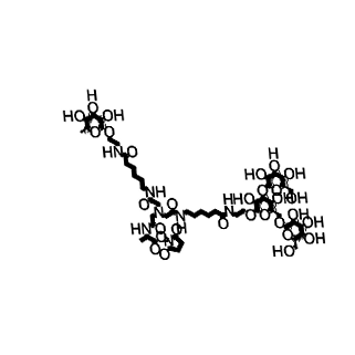 CC(NC(=O)CN(CC(=O)NCCCCCC(=O)NCCO[C@@H]1O[C@@H](C)[C@@H](O)[C@@H](O)[C@@H]1O)CC(=O)NCCCCCC(=O)NCCO[C@H]1O[C@H](CO[C@H]2O[C@H](CO)[C@@H](O)[C@H](O)[C@@H]2O)[C@@H](O)[C@H](O[C@H]2O[C@H](CO)[C@@H](O)[C@H](O)[C@@H]2O)[C@@H]1O)C(=O)ON1C(=O)CCC1=O